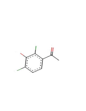 CC(=O)c1ccc(Cl)c(O)c1Cl